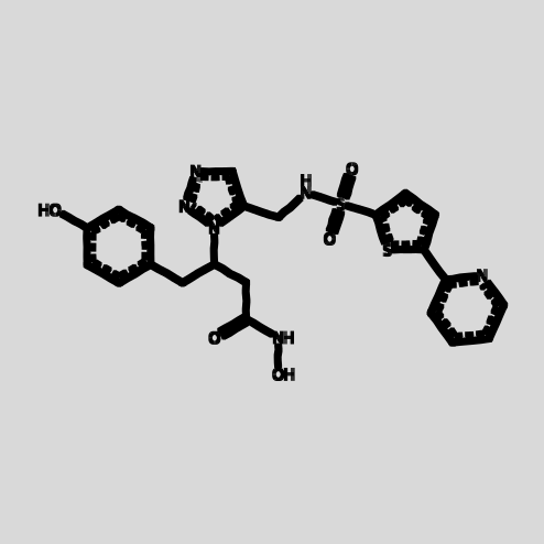 O=C(CC(Cc1ccc(O)cc1)n1nncc1CNS(=O)(=O)c1ccc(-c2ccccn2)s1)NO